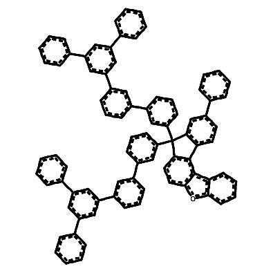 c1ccc(-c2cc(-c3ccccc3)cc(-c3cccc(-c4cccc(C5(c6cccc(-c7cccc(-c8cc(-c9ccccc9)cc(-c9ccccc9)c8)c7)c6)c6cc(-c7ccccc7)ccc6-c6c5ccc5oc7ccccc7c65)c4)c3)c2)cc1